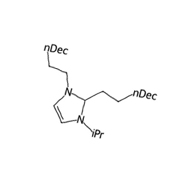 CCCCCCCCCCCCC1N(CCCCCCCCCCCC)C=CN1C(C)C